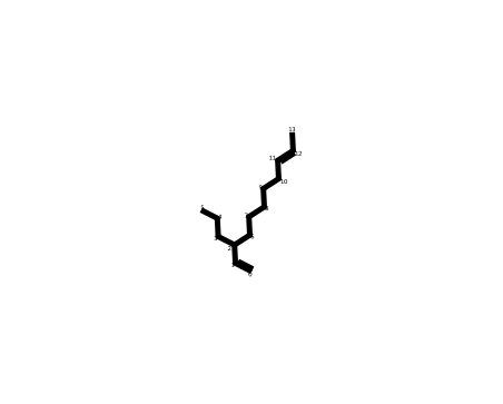 C=CC(CCC)CCCCCC=CC